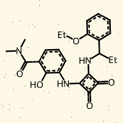 CCOc1ccccc1C(CC)Nc1c(Nc2cccc(C(=O)N(C)C)c2O)c(=O)c1=O